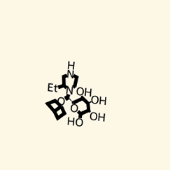 C1CC2CCC12.CCC1CNCCN1C(=O)[C@H]1OC(O)[C@H](O)[C@@H](O)[C@@H]1O